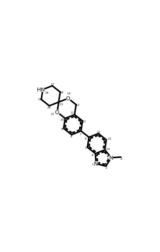 Cn1cnc2cc(-c3ccc4c(c3)COC3(CCNCC3)O4)ccc21